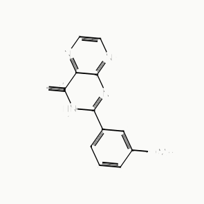 COc1cccc(-c2nc3nccnc3c(=O)[nH]2)c1